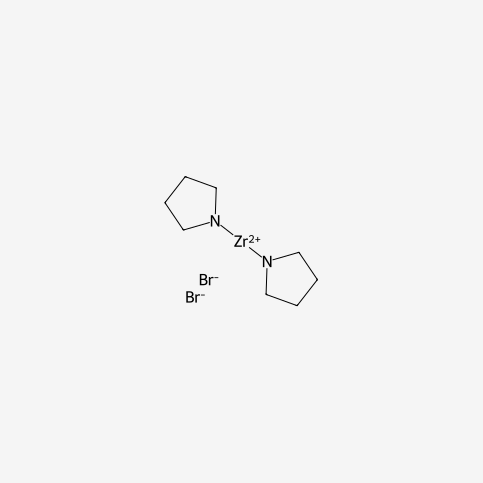 C1CC[N]([Zr+2][N]2CCCC2)C1.[Br-].[Br-]